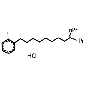 CCCN(CCC)CCCCCCCCc1ccccc1C.Cl